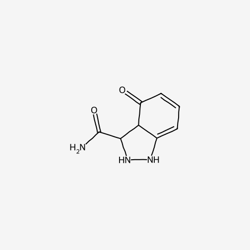 NC(=O)C1NNC2=CC=CC(=O)C21